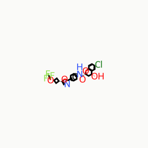 O=C(NC12CCC(c3ncc([C@H]4C[C@@H](OC(F)(F)F)C4)o3)(CC1)CC2)[C@H]1C[C@@H](O)c2cc(Cl)ccc2O1